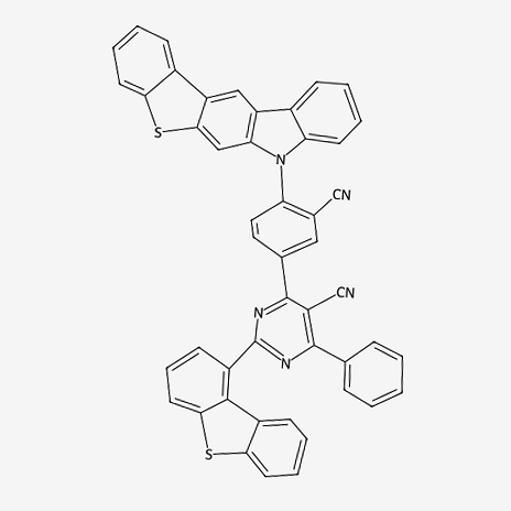 N#Cc1cc(-c2nc(-c3cccc4sc5ccccc5c34)nc(-c3ccccc3)c2C#N)ccc1-n1c2ccccc2c2cc3c(cc21)sc1ccccc13